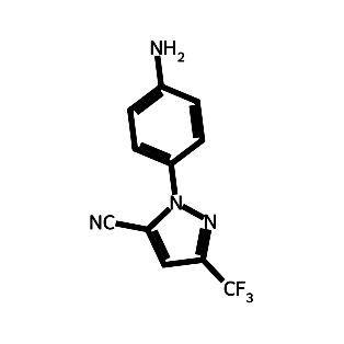 N#Cc1cc(C(F)(F)F)nn1-c1ccc(N)cc1